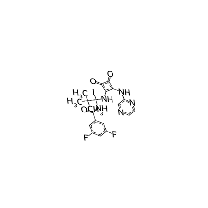 CC(C)(C)C(I)(NC(=O)c1cc(F)cc(F)c1)Nc1c(Nc2cnccn2)c(=O)c1=O